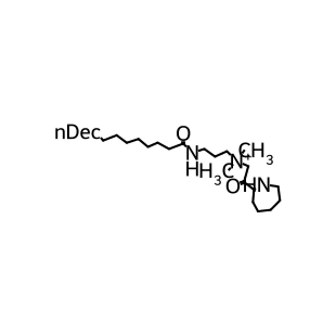 CCCCCCCCCCCCCCCCCC(=O)NCCC[N+](C)(C)CC(=O)C1CCCCCN1